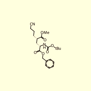 COC(=O)[C@@H](CCCC#N)C[C@H](NC(=O)OC(C)(C)C)C(=O)OCc1ccccc1